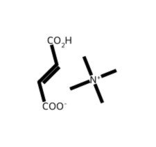 C[N+](C)(C)C.O=C([O-])C=CC(=O)O